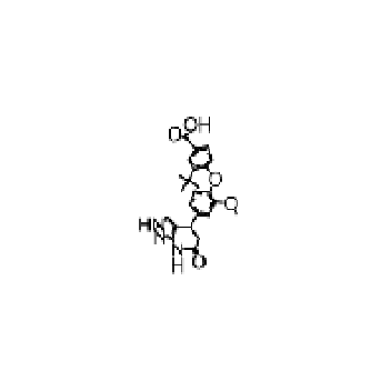 COc1cc(C2CC(=O)Nc3n[nH]cc32)ccc1Oc1ccc(C(=O)O)cc1C(C)(C)C